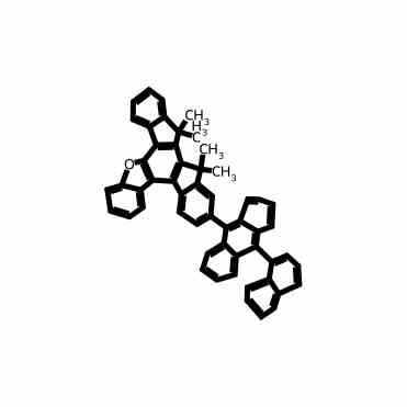 CC1(C)c2ccccc2-c2c1c1c(c3c2oc2ccccc23)-c2ccc(-c3c4ccccc4c(-c4cccc5ccccc45)c4ccccc34)cc2C1(C)C